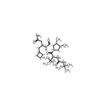 C[C@@H]1[C@@H](C(=O)NC(CC(N)=O)CC2CCC2)N(C(=O)[C@@H](NC(=O)NC(C)(C)C)C(C)(C)C)C[C@@H]1C